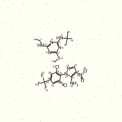 CCNc1nc(NC(C)(C)C)nc(SC)n1.Nc1c([N+](=O)[O-])cnn1-c1c(Cl)cc(C(F)(F)F)cc1Cl